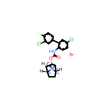 C[N+]1(C)[C@@H]2CC[C@H]1C[C@@H](OC(=O)Nc1ccc(Cl)cc1-c1ccc(F)c(Cl)c1)C2.[Br-]